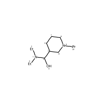 CCN(CC)C(O)C1CCCN(C(C)C)C1